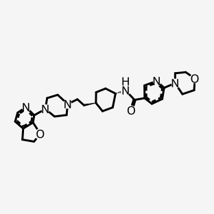 O=C(N[C@H]1CC[C@H](CCN2CCN(c3nccc4c3OCC4)CC2)CC1)c1ccc(N2CCOCC2)nc1